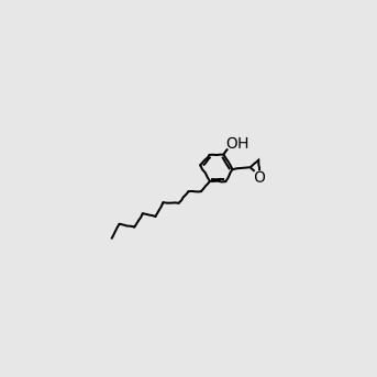 CCCCCCCCCc1ccc(O)c(C2CO2)c1